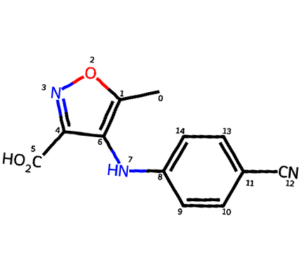 Cc1onc(C(=O)O)c1Nc1ccc(C#N)cc1